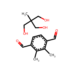 CC(CO)(CO)CO.Cc1c(C=O)ccc(C=O)c1C